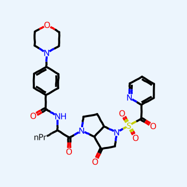 CCCC(NC(=O)c1ccc(N2CCOCC2)cc1)C(=O)N1CCC2C1C(=O)CN2S(=O)(=O)C(=O)c1ccccn1